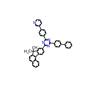 CC1(C)c2cc(-c3nc(-c4ccc(-c5ccccc5)cc4)nc(-c4ccc(-c5cccnc5)cc4)n3)ccc2-c2c1ccc1ccccc21